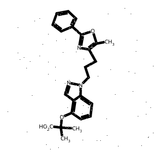 Cc1oc(-c2ccccc2)nc1CCCn1ncc2c(OC(C)(C)C(=O)O)cccc21